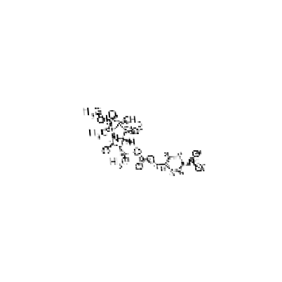 COC(=O)[C@@]1(C)N2C(=O)[C@@H](C(C)OC(=O)OCc3ccc([N+](=O)[O-])cc3)[C@H]2[S+]([O-])C1(C)C